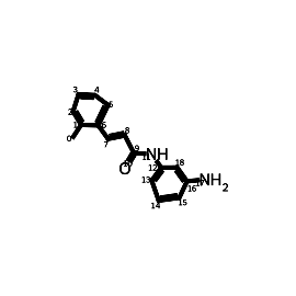 Cc1ccccc1/C=C/C(=O)Nc1cccc(N)c1